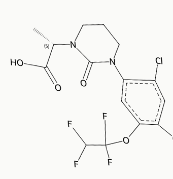 C[C@@H](C(=O)O)N1CCCN(c2cc(OC(F)(F)C(F)F)c(Cl)cc2Cl)C1=O